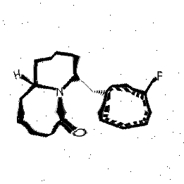 O=C1CCC[C@@H]2CCC[C@H](c3cccc(F)c3)N12